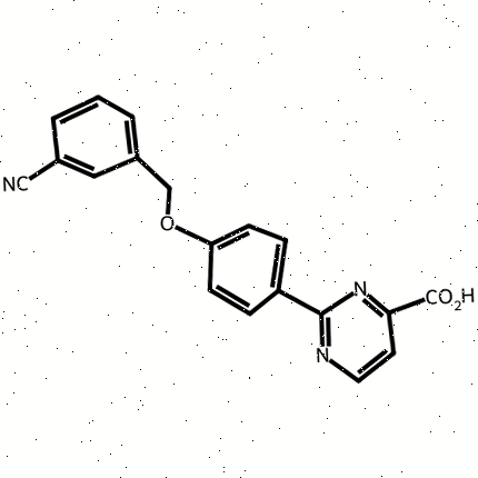 N#Cc1cccc(COc2ccc(-c3nccc(C(=O)O)n3)cc2)c1